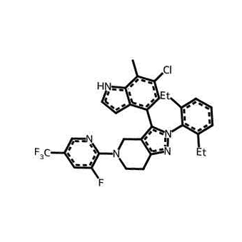 CCc1cccc(CC)c1-n1nc2c(c1-c1cc(Cl)c(C)c3[nH]ccc13)CN(c1ncc(C(F)(F)F)cc1F)CC2